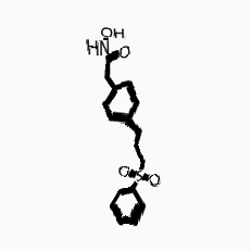 O=C(Cc1ccc(CCCS(=O)(=O)c2ccccc2)cc1)NO